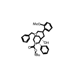 COc1ccccc1C(COCc1ccccc1)C[C@]1(O)CCCN(C(=O)OC(C)(C)C)[C@H]1c1ccccc1